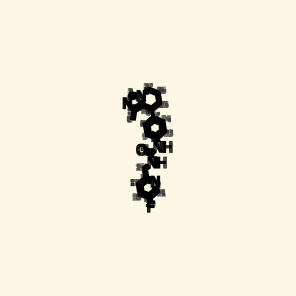 Cc1ncn2c1[C@H](c1ccc(NC(=O)NCc3ccc(F)cn3)cc1)CCC2